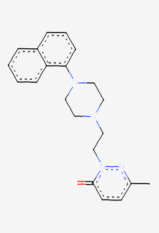 Cc1ccc(=O)n(CCN2CCN(c3cccc4ccccc34)CC2)n1